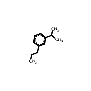 CCCc1c[c]cc(C(C)C)c1